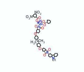 CCn1c2ccccc2c2cc(N3C(=O)c4ccc(Oc5ccc(C(C)(C)c6ccc(Oc7ccc8c(c7)C(=O)N(c7nc(OC(=O)c9ccccc9)nc(OC(=O)c9cc([N+](=O)[O-])cc([N+](=O)[O-])c9)n7)C8=O)cc6)cc5)cc4C3=O)ccc21